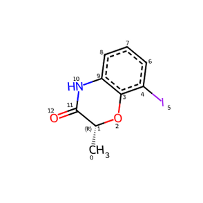 C[C@H]1Oc2c(I)cccc2NC1=O